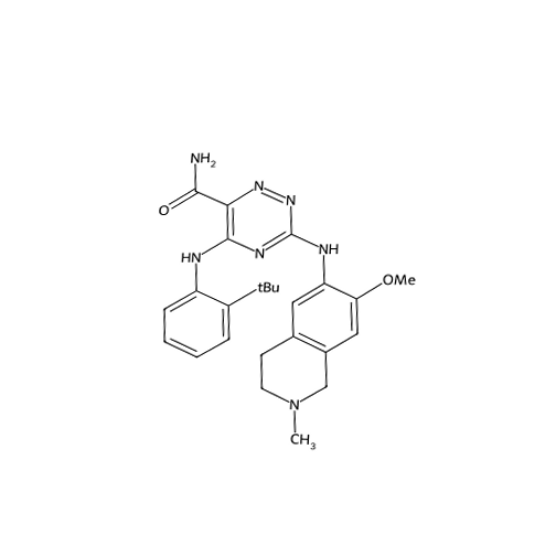 COc1cc2c(cc1Nc1nnc(C(N)=O)c(Nc3ccccc3C(C)(C)C)n1)CCN(C)C2